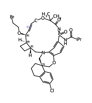 CC(C)C(=O)NS1(=O)=NC(=O)C(C)(C)OC/C=C/[C@H](OCCBr)[C@@H]2CC[C@H]2CN2C[C@@]3(CCCc4cc(Cl)ccc43)COc3ccc1cc32